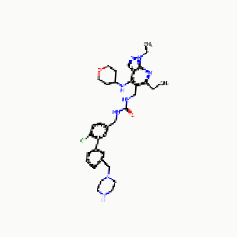 CCc1nc2c(cnn2CC)c(NC2CCOCC2)c1CNC(=O)NCc1ccc(Cl)c(-c2cccc(CN3CCNCC3)c2)c1